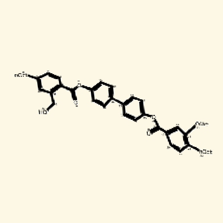 CCCCCCCCc1ccc(C(=O)Oc2ccc(-c3ccc(OC(=O)c4ccc(CCCCCCCC)c(OC)c4)cc3)cc2)c(CO)c1